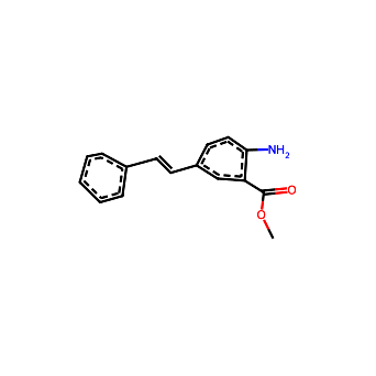 COC(=O)c1cc(C=Cc2ccccc2)ccc1N